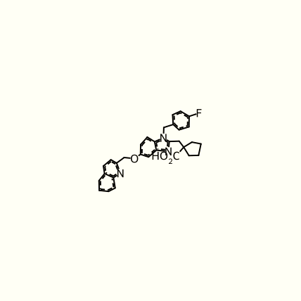 O=C(O)C1(Cc2nc3cc(OCc4ccc5ccccc5n4)ccc3n2Cc2ccc(F)cc2)CCCC1